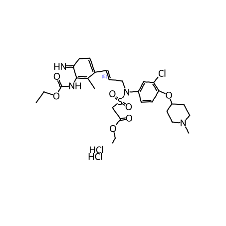 CCOC(=O)CS(=O)(=O)N(C/C=C/C1=CCC(=N)C(NC(=O)OCC)=C1C)c1ccc(OC2CCN(C)CC2)c(Cl)c1.Cl.Cl